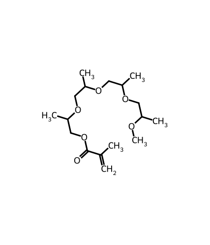 C=C(C)C(=O)OCC(C)OCC(C)OCC(C)OCC(C)OC